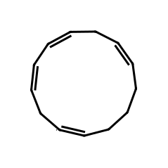 [C]1=CCCCC=CCC=CC=CC1